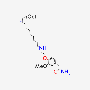 CCCCCCCC/C=C\CCCCCCCCNCCOc1ccc(CC(N)=O)cc1OC